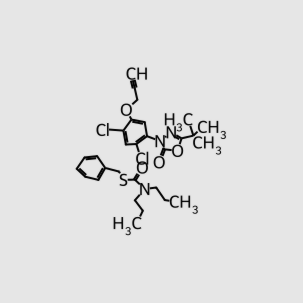 C#CCOc1cc(-n2nc(C(C)(C)C)oc2=O)c(Cl)cc1Cl.CCCN(CCC)C(=O)SCc1ccccc1